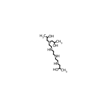 CC(O)CNCCNCCNCCN(CC(C)O)CC(C)O